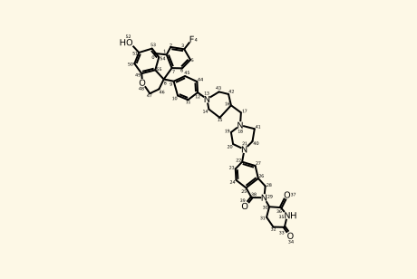 Cc1cc(F)ccc1C1(c2ccc(N3CCC(CN4CCN(c5ccc6c(c5)CN(C5CCC(=O)NC5=O)C6=O)CC4)CC3)cc2)CCOc2cc(O)ccc21